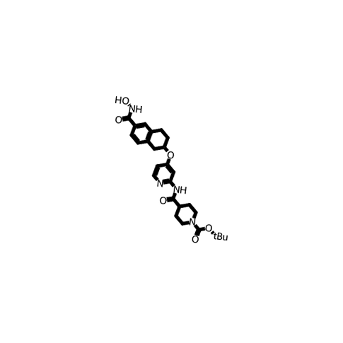 CC(C)(C)OC(=O)N1CCC(C(=O)Nc2cc(OC3CCc4cc(C(=O)NO)ccc4C3)ccn2)CC1